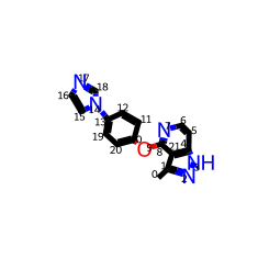 Cc1n[nH]c2ccnc(Oc3ccc(-n4ccnc4)cc3)c12